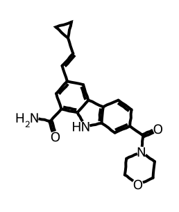 NC(=O)c1cc(C=CC2CC2)cc2c1[nH]c1cc(C(=O)N3CCOCC3)ccc12